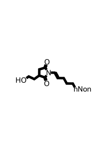 CCCCCCCCCCCCC=CN1C(=O)CC(CCO)C1=O